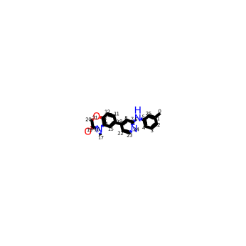 Cc1cccc(Nc2cc(-c3ccc4c(c3)N(C)C(=O)CO4)ccn2)c1